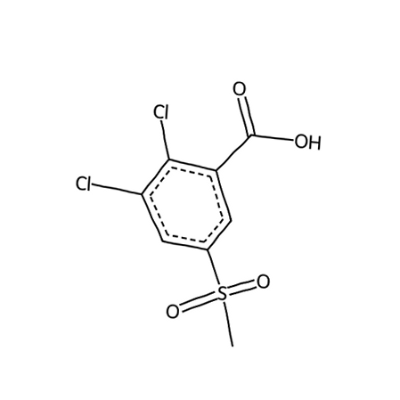 CS(=O)(=O)c1cc(Cl)c(Cl)c(C(=O)O)c1